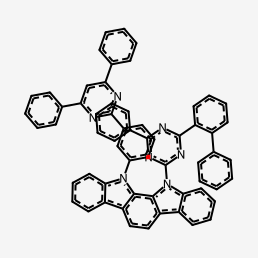 c1ccc(-c2cc(-c3ccccc3)nc(-c3cccc(-n4c5ccccc5c5ccc6c7ccccc7n(-c7nc(-c8ccccc8)nc(-c8ccccc8-c8ccccc8)n7)c6c54)c3)n2)cc1